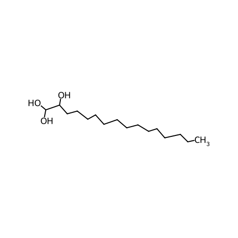 CCCCCCCCCCCCCCC(O)C(O)O